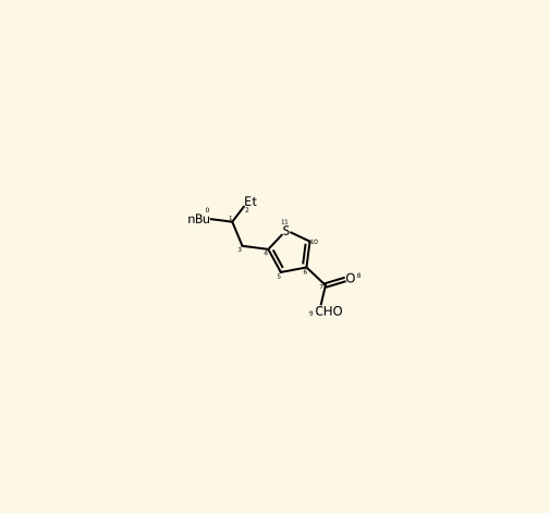 CCCCC(CC)Cc1cc(C(=O)C=O)cs1